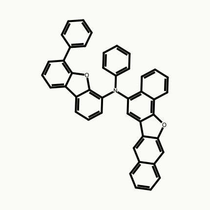 c1ccc(-c2cccc3c2oc2c(N(c4ccccc4)c4cc5c6cc7ccccc7cc6oc5c5ccccc45)cccc23)cc1